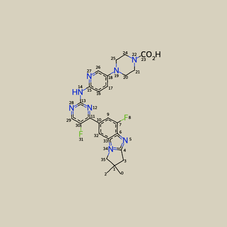 CC1(C)Cc2nc3c(F)cc(-c4nc(Nc5ccc(N6CCN(C(=O)O)CC6)cn5)ncc4F)cc3n2C1